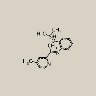 CC(=Nc1ccccc1O[SiH](C)C)c1cc(C)ccn1